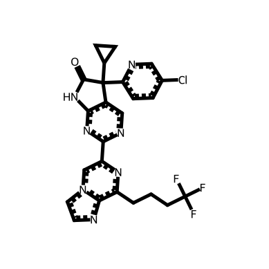 O=C1Nc2nc(-c3cn4ccnc4c(CCCC(F)(F)F)n3)ncc2C1(c1ccc(Cl)cn1)C1CC1